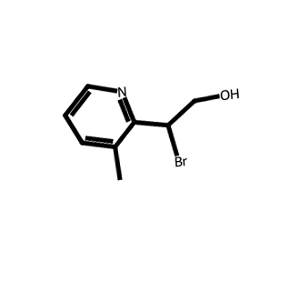 Cc1cccnc1C(Br)CO